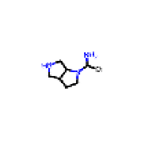 CCC(N)N1[CH]CC2CNCC21